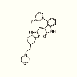 O=C1Nc2cccc(-c3cccc(F)c3)c2/C1=C/c1cc2c([nH]1)CCC(CCN1CCOCC1)C2